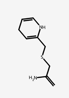 C=C(N)CSCC1=CCC=CN1